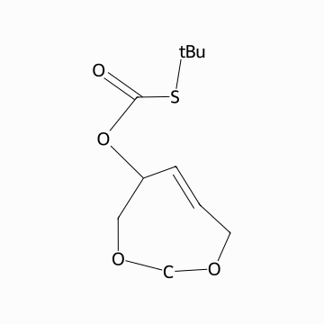 CC(C)(C)SC(=O)OC1/C=C/COCOC1